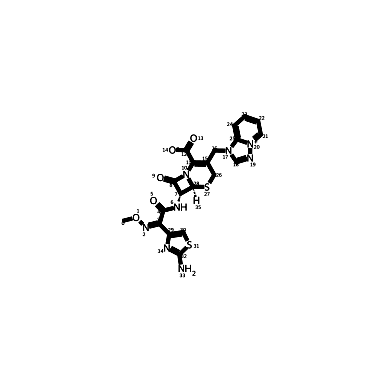 CO/N=C(\C(=O)N[C@@H]1C(=O)N2C(C(=O)[O-])=C(Cn3cn[n+]4ccccc34)CS[C@@H]12)c1csc(N)n1